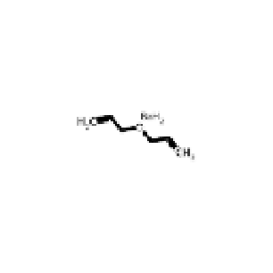 C=CCOCC=C.[BaH2]